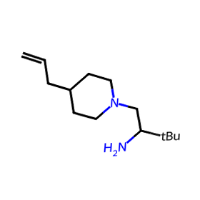 C=CCC1CCN(CC(N)C(C)(C)C)CC1